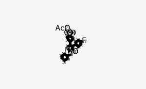 CC(=O)OCS(=O)(=O)c1ccc(-c2cnn(Cc3ccccc3)c(=O)c2-c2ccc(F)cc2)cc1